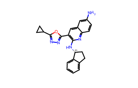 Nc1ccc2nc(N[C@@H]3CCc4ccccc43)c(-c3nnc(C4CC4)o3)cc2c1